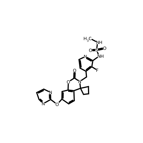 CNS(=O)(=O)Nc1nccc(CN2C(=O)Oc3cc(Oc4ncccn4)ccc3C23CCC3)c1F